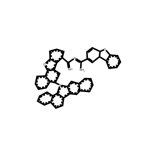 N=C(/N=C(\N)C1=CC2c3ccccc3SC2C=C1)c1cccc2oc3c4ccccc4c(-n4c5cc6ccccc6cc5c5ccc6ccccc6c54)cc3c12